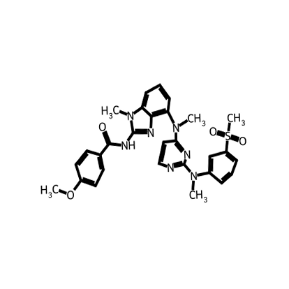 COc1ccc(C(=O)Nc2nc3c(N(C)c4ccnc(N(C)c5cccc(S(C)(=O)=O)c5)n4)cccc3n2C)cc1